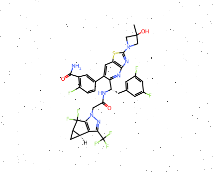 CC1(O)CN(c2nc3nc([C@H](Cc4cc(F)cc(F)c4)NC(=O)Cn4nc(C(F)(F)F)c5c4C(F)(F)C4C[C@H]54)c(-c4ccc(F)c(C(N)=O)c4)cc3s2)C1